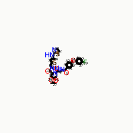 O=C(NCC(=O)N1CC2(C[C@H]1C(=O)NCc1cc(NC3=NCCS3)cs1)OCCO2)c1ccc(Oc2ccc(F)cc2)cc1